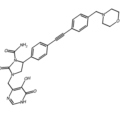 NC(=O)N1C(=O)N(Cc2nc[nH]c(=O)c2O)CC1c1ccc(C#Cc2ccc(CN3CCOCC3)cc2)cc1